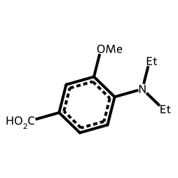 CCN(CC)c1ccc(C(=O)O)cc1OC